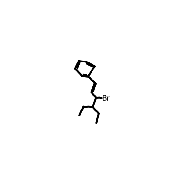 CCC(CC)C(Br)/C=C/c1ccccc1